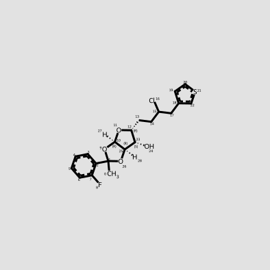 CC1(c2ccccc2F)O[C@H]2O[C@H](CCC(Cl)Cc3ccsc3)[C@H](O)[C@H]2O1